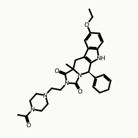 CCOc1ccc2[nH]c3c(c2c1)CC1(C)C(=O)N(CCN2CCN(C(C)=O)CC2)C(=O)N1[C@@H]3C1=CCCC=C1